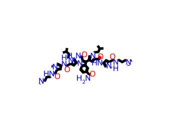 CC(C)CCn1cc(-c2c(C(N)=O)n(-c3cc(C(=O)Nc4cc(C(=O)NCCCN(C)C)n(C)c4)n(CCC(C)C)c3)c3ccc(C(N)=O)cc23)cc1C(=O)Nc1cc(C(=O)NCCCN(C)C)n(C)c1